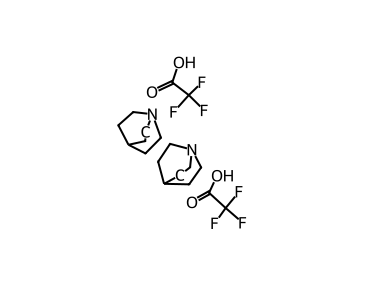 C1CN2CCC1CC2.C1CN2CCC1CC2.O=C(O)C(F)(F)F.O=C(O)C(F)(F)F